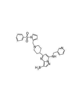 Bc1cnn2c(NCc3cccnc3)cc(C3CCN(Cc4cccn4S(=O)(=O)c4ccccc4)CC3)nc12